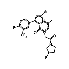 Cc1cn(CC(=O)N2CCC(F)C2)c(=O)c2c(-c3ccc(F)c(C(F)(F)F)c3)cc(Br)n12